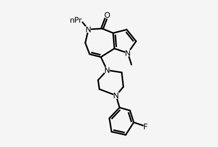 CCCN1CC=C(N2CCN(c3cccc(F)c3)CC2)c2c(ccn2C)C1=O